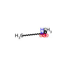 CCCCCCCCCCCCCCCCCC(=O)NC(=O)c1cc(C)ccc1I(=O)=O